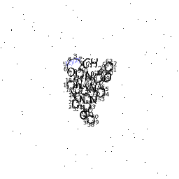 C=C1/C=C\C=C/COc2c1ccc1c2c2ccccc2n1-c1c(C#N)c(-n2c3ccccc3c3c4oc5ccccc5c4ccc32)c(C#N)c(-n2c3ccccc3c3c4oc5ccccc5c4ccc32)c1C#N